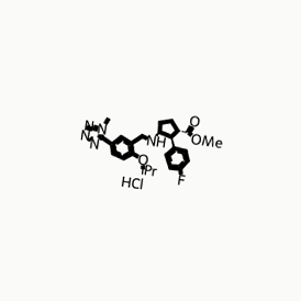 COC(=O)[C@H]1CC[C@H](NCc2cc(-c3nnnn3C)ccc2OC(C)C)[C@@H]1c1ccc(F)cc1.Cl